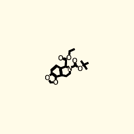 CCOC(=O)C1c2ccc3c(c2CCN1C(=O)OC(C)(C)C)OCO3